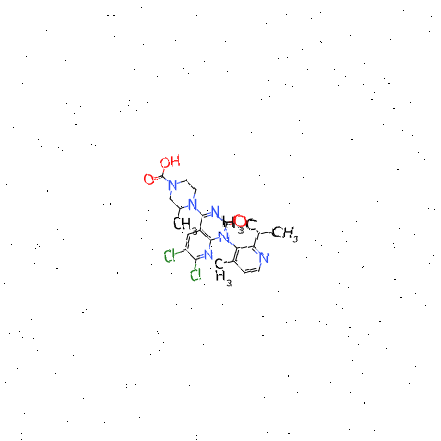 Cc1ccnc(C(C)C)c1-n1c(=O)nc(N2CCN(C(=O)O)CC2C)c2cc(Cl)c(Cl)nc21